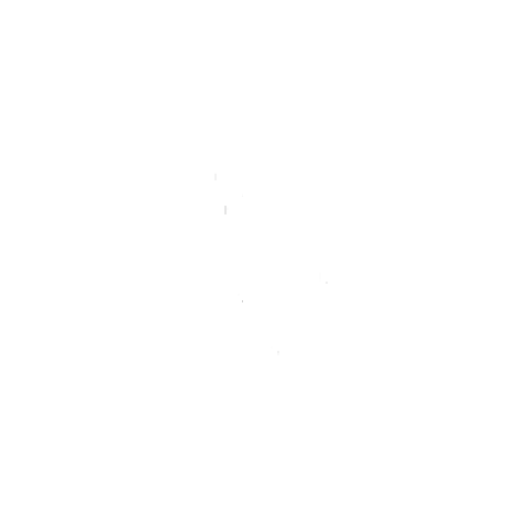 COc1ccncc1N1CCC(OC(=O)NC(C)(C)C)C1=O